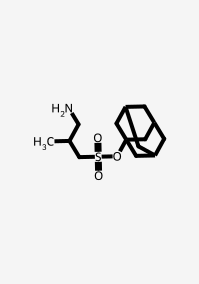 CC(CN)CS(=O)(=O)OC12CC3CC(CC(C3)C1)C2